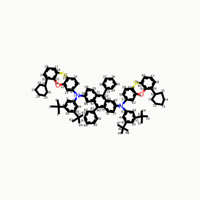 CC(C)(C)c1cc(N(c2ccc3c(c2)Oc2c(cccc2C2CCCCC2)S3)c2ccc3c(-c4ccccc4)c4cc(N(c5cc(C(C)(C)C)cc(C(C)(C)C)c5)c5ccc6c(c5)Oc5c(cccc5C5CCCCC5)S6)ccc4c(-c4ccccc4)c3c2)cc(C(C)(C)C)c1